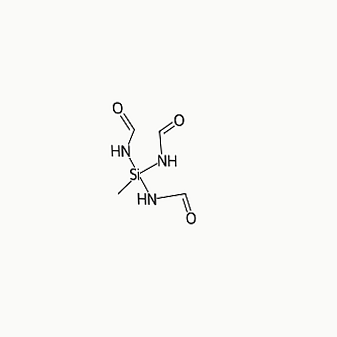 C[Si](NC=O)(NC=O)NC=O